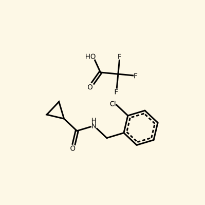 O=C(NCc1ccccc1Cl)C1CC1.O=C(O)C(F)(F)F